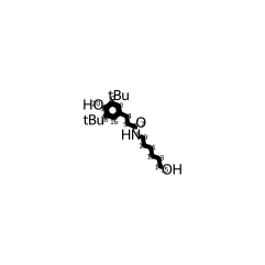 CC(C)(C)c1cc(CCC(=O)NCCCCCCO)cc(C(C)(C)C)c1O